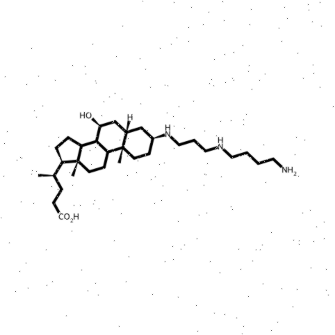 C[C@H](CCC(=O)O)[C@H]1CCC2C3C(CC[C@@]21C)[C@@]1(C)CC[C@H](NCCCNCCCCN)C[C@H]1C[C@@H]3O